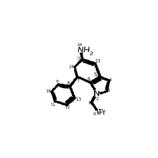 CC(C)Cn1ccc2c1C(c1ccccc1)CC(N)=C2